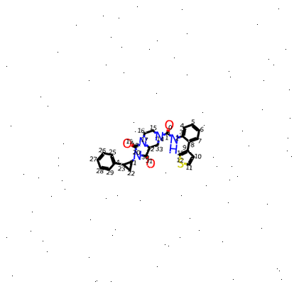 O=C(Nc1ccccc1-c1ccsc1)N1CCN2C(=O)N(C3CC3c3ccccc3)C(=O)C2C1